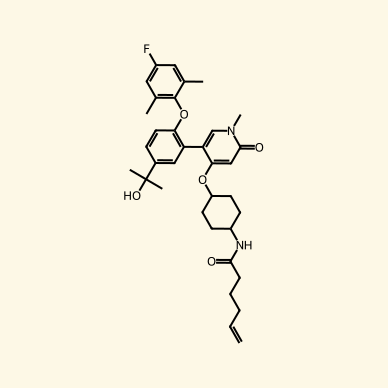 C=CCCCC(=O)NC1CCC(Oc2cc(=O)n(C)cc2-c2cc(C(C)(C)O)ccc2Oc2c(C)cc(F)cc2C)CC1